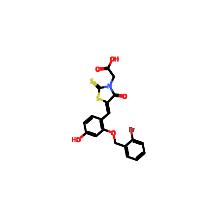 O=C(O)CN1C(=O)C(=Cc2ccc(O)cc2OCc2ccccc2Br)SC1=S